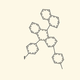 Cc1ccc(-c2ccc3c(-c4cccc5ccccc45)c4ccccc4c(-c4ccc(F)cc4)c3c2)cc1